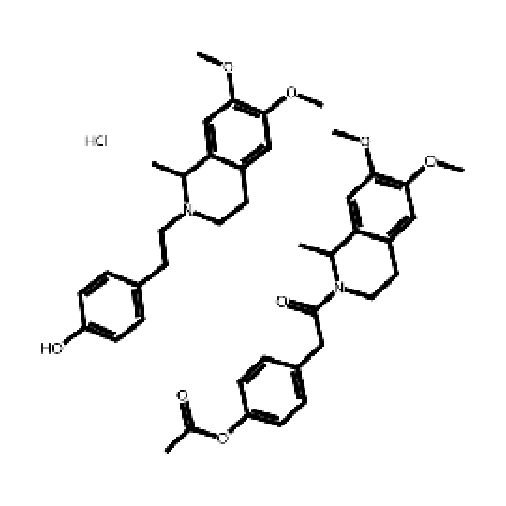 COc1cc2c(cc1OC)C(C)N(C(=O)Cc1ccc(OC(C)=O)cc1)CC2.COc1cc2c(cc1OC)C(C)N(CCc1ccc(O)cc1)CC2.Cl